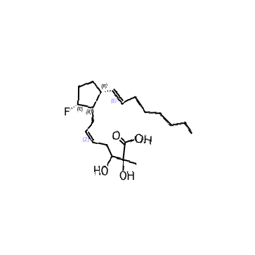 CCCCCC/C=C/[C@H]1CC[C@@H](F)[C@@H]1C/C=C\CC(O)C(C)(O)C(=O)O